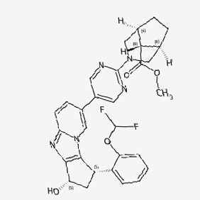 COC(=O)[C@@H]1[C@@H]2CC[C@H]1CN(c1ncc(-c3ccc4nc5c(n4c3)[C@H](c3ccccc3OC(F)F)C[C@@H]5O)cn1)C2